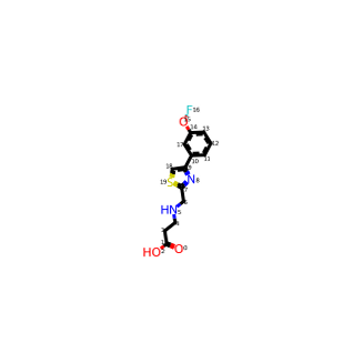 O=C(O)CCNCc1nc(-c2cccc(OF)c2)cs1